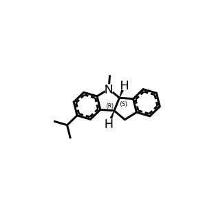 CC(C)c1ccc2c(c1)[C@H]1Cc3ccccc3[C@H]1N2C